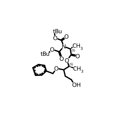 C[C@H](OC(=O)[C@H](C)N(C(=O)OC(C)(C)C)C(=O)OC(C)(C)C)C(CCO)OCc1ccccc1